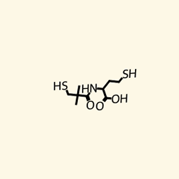 CC(C)(CS)C(=O)NC(CCS)C(=O)O